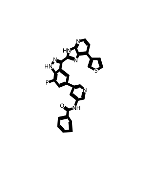 O=C(Nc1cncc(-c2cc(F)c3[nH]nc(-c4nc5c(-c6ccsc6)ccnc5[nH]4)c3c2)c1)c1ccccc1